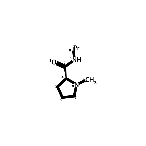 CC(C)NC(=O)[C@@H]1CCCN1C